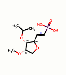 CO[C@H]1CO[C@H](/C=C/P(=O)(O)O)[C@H]1OC(C)C